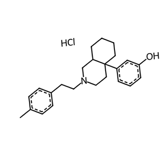 Cc1ccc(CCN2CCC3(c4cccc(O)c4)CCCCC3C2)cc1.Cl